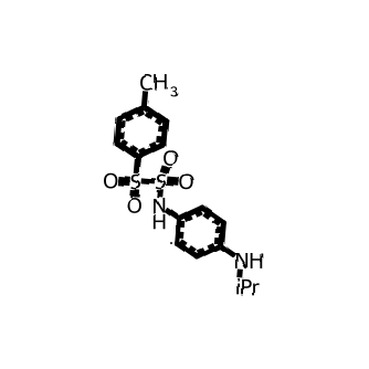 Cc1ccc(S(=O)(=O)S(=O)(=O)Nc2[c]cc(NC(C)C)cc2)cc1